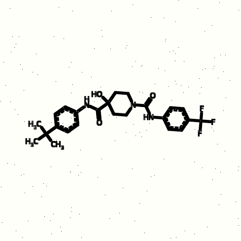 CC(C)(C)c1ccc(NC(=O)C2(O)CCN(C(=O)Nc3ccc(C(F)(F)F)cc3)CC2)cc1